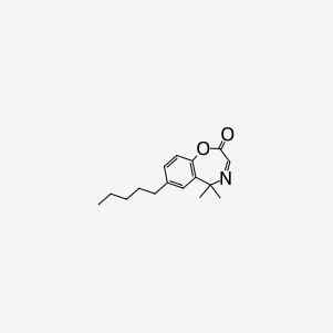 CCCCCc1ccc2c(c1)C(C)(C)N=CC(=O)O2